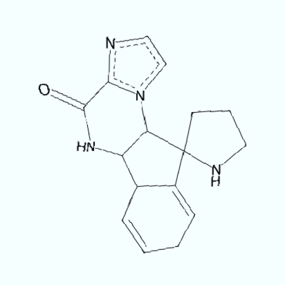 O=C1NC2C3C=CCC=C3C3(CCCN3)C2n2ccnc21